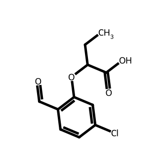 CCC(Oc1cc(Cl)ccc1C=O)C(=O)O